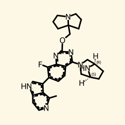 Cc1nccc2[nH]cc(-c3ccc4c(N5C[C@H]6CC[C@@H](C5)N6)nc(OCC56CCCN5CCC6)nc4c3F)c12